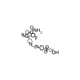 CC1(O)CC(S(=O)(=O)c2ccc(N3CC(CN4CCC([C@@](CN5CCC5)(c5cccc(F)c5)[C@H]5CCC[C@@H]5OC(N)=O)CC4)C3)cc2)C1